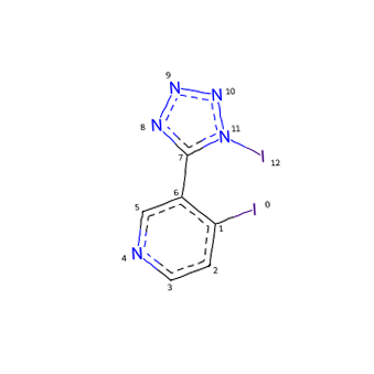 Ic1ccncc1-c1nnnn1I